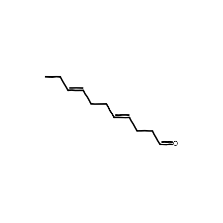 CCC=CCCC=CCCC=O